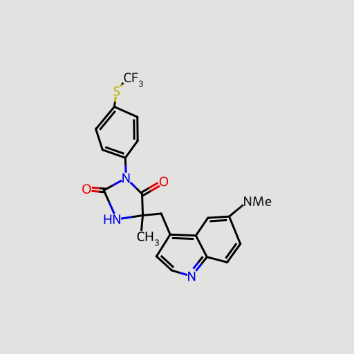 CNc1ccc2nccc(CC3(C)NC(=O)N(c4ccc(SC(F)(F)F)cc4)C3=O)c2c1